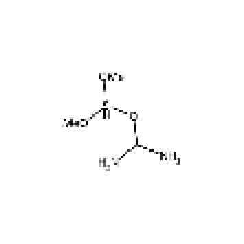 CO[SiH](OC)OC(N)N